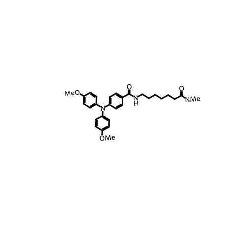 CNC(=O)CCCCCCNC(=O)c1ccc(N(c2ccc(OC)cc2)c2ccc(OC)cc2)cc1